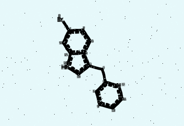 Brc1ccc2c(Cc3ccccn3)c[nH]c2c1